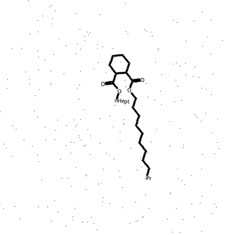 CCCCCCCOC(=O)C1CCCCC1C(=O)OCCCCCCCCCC(C)C